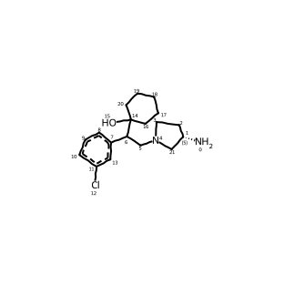 N[C@H]1CCN(CC(c2cccc(Cl)c2)C2(O)CCCCC2)C1